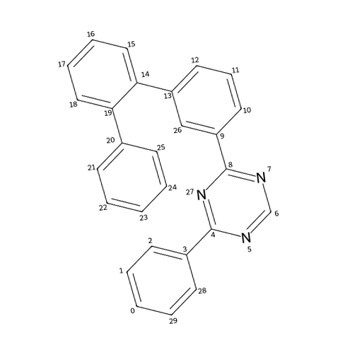 c1ccc(-c2ncnc(-c3cccc(-c4ccccc4-c4ccccc4)c3)n2)cc1